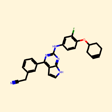 N#CCc1cccc(-c2nc(Nc3ccc(OC4CC#CCC4)c(F)c3)nc3[nH]ccc23)c1